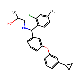 OC(CNC(c1cccc(Oc2cccc(C3CC3)c2)c1)c1ccc(C(F)(F)F)cc1F)C(F)(F)F